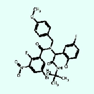 COc1ccc(CN(C(=O)c2cc(Br)cc([N+](=O)[O-])c2F)C(C(=O)NC(C)(C)C)c2cc(F)ccc2Cl)cc1